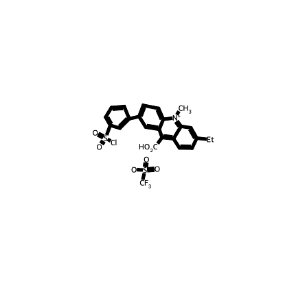 CCc1ccc2c(C(=O)O)c3cc(-c4cccc(S(=O)(=O)Cl)c4)ccc3[n+](C)c2c1.O=S(=O)([O-])C(F)(F)F